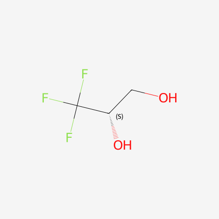 OC[C@H](O)C(F)(F)F